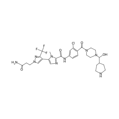 Cn1c(-c2cn(CCC(N)=O)nc2C(F)(F)F)cnc1C(=O)Nc1ccc(C(=O)N2CCN(C(O)C3CCNCC3)CC2)c(Cl)c1